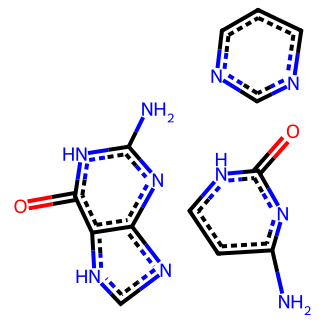 Nc1cc[nH]c(=O)n1.Nc1nc2nc[nH]c2c(=O)[nH]1.c1cncnc1